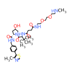 CNCCOCCOCCNC(=O)CCC(=O)NC(C(=O)N1C[C@H](O)C[C@H]1C(=O)NCc1ccc(-c2scnc2C)cc1)C(C)(C)C